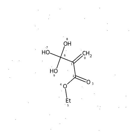 C=C(C(=O)OCC)C(O)(O)O